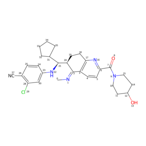 C/N=C1/c2ccc(C(=O)N3CCC(O)CC3)nc2CC[C@@H]1[C@@H](Nc1ccc(C#N)c(Cl)c1)C1CCCC1